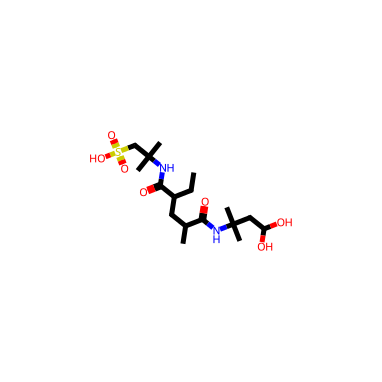 CCC(CC(C)C(=O)NC(C)(C)CC(O)O)C(=O)NC(C)(C)CS(=O)(=O)O